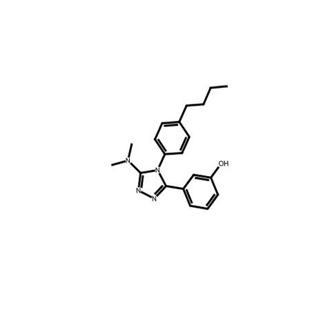 CCCCc1ccc(-n2c(-c3cccc(O)c3)nnc2N(C)C)cc1